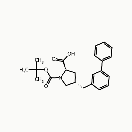 CC(C)(C)OC(=O)N1C[C@@H](Cc2cccc(-c3ccccc3)c2)C[C@@H]1C(=O)O